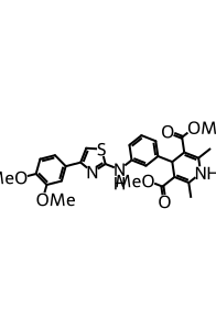 COC(=O)C1=C(C)NC(C)=C(C(=O)OC)C1c1cccc(Nc2nc(-c3ccc(OC)c(OC)c3)cs2)c1